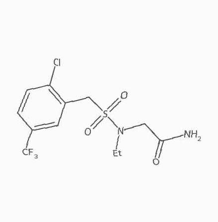 CCN(CC(N)=O)S(=O)(=O)Cc1cc(C(F)(F)F)ccc1Cl